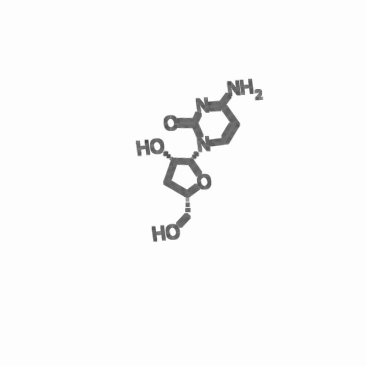 Nc1ccn([C@@H]2O[C@H](CO)C[C@@H]2O)c(=O)n1